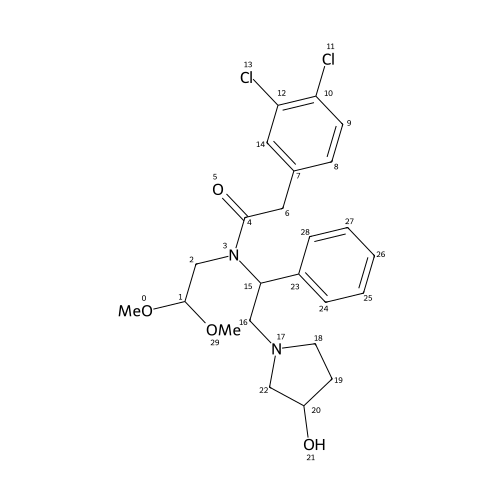 COC(CN(C(=O)Cc1ccc(Cl)c(Cl)c1)C(CN1CCC(O)C1)c1ccccc1)OC